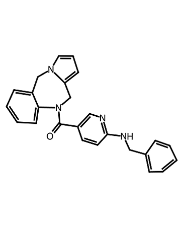 O=C(c1ccc(NCc2ccccc2)nc1)N1Cc2cccn2Cc2ccccc21